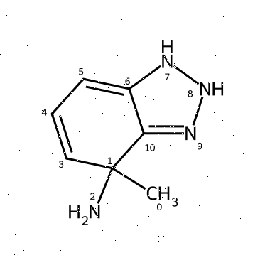 CC1(N)C=CC=C2NNN=C21